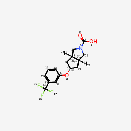 O=C(O)N1C[C@H]2C[C@@H](Oc3cccc(C(F)(F)F)c3)C[C@H]2C1